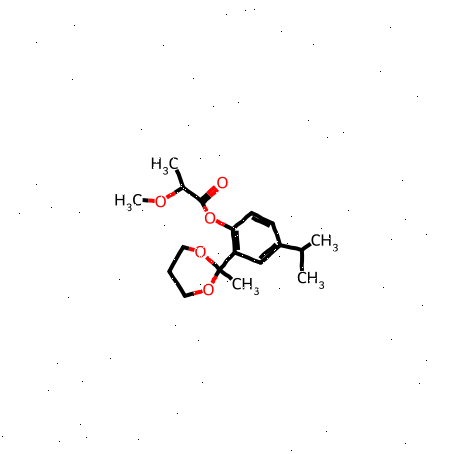 COC(C)C(=O)Oc1ccc(C(C)C)cc1C1(C)OCCCO1